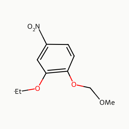 C[CH]Oc1cc([N+](=O)[O-])ccc1OCOC